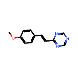 COc1ccc(C=Cc2ncncn2)cc1